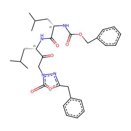 CC(C)C[C@H](NC(=O)[C@H](CC(C)C)NC(=O)OCc1ccccc1)C(=O)Cn1nc(Cc2ccccc2)oc1=O